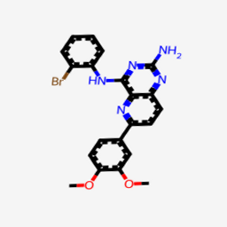 COc1ccc(-c2ccc3nc(N)nc(Nc4ccccc4Br)c3n2)cc1OC